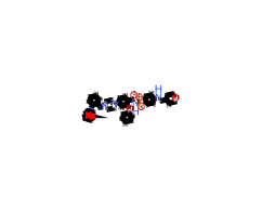 O=C(NS(=O)(=O)c1ccc(NCC2CCOCC2)cc1)c1ccc(N2CCN(Cc3ccccc3N3CC4CCC(CC4)C3)CC2)cc1Oc1ccccc1